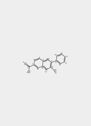 O=C(Cl)c1ccc2nc(-c3ccccc3)c(Cl)nc2c1